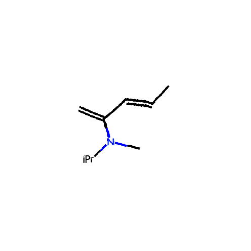 C=C(/C=C/C)N(C)C(C)C